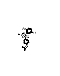 COCN(c1cc(Cl)ccc1Br)S(=O)(=O)c1ccc(OC(C)C)cc1